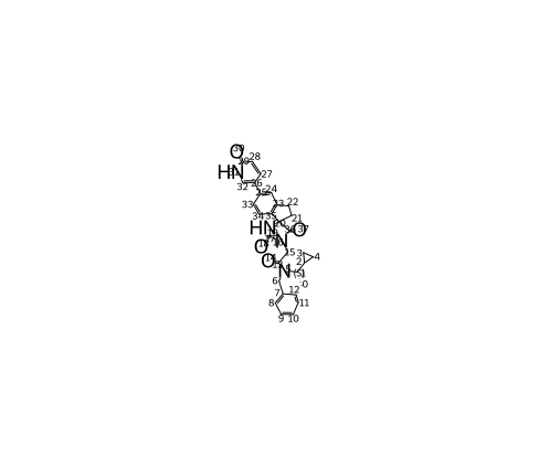 C[C@@H](C1CC1)N(Cc1ccccc1)C(=O)CN1C(=O)NC2(CCc3cc(-c4ccc(=O)[nH]c4)ccc32)C1=O